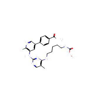 COC(=O)c1ccc(-c2cnc(F)c(Nc3ncc(C)c(NCCCCCNC(=O)OC(C)(C)C)n3)c2)cc1